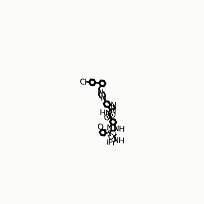 CC(C)NC(=O)C[C@H](CSc1ccccc1)Nc1ccc(S(=O)(=O)Nc2ncnc3cc(N4CCN(Cc5ccccc5-c5ccc(Cl)cc5)CC4)ccc23)cc1[N+](=O)[O-]